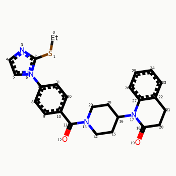 CCSc1nccn1-c1ccc(C(=O)N2CCC(N3C(=O)CCc4ccccc43)CC2)cc1